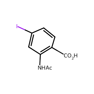 CC(=O)Nc1cc(I)ccc1C(=O)O